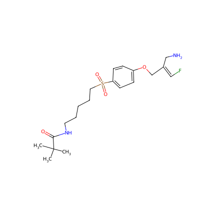 CC(C)(C)C(=O)NCCCCCS(=O)(=O)c1ccc(OC/C(=C/F)CN)cc1